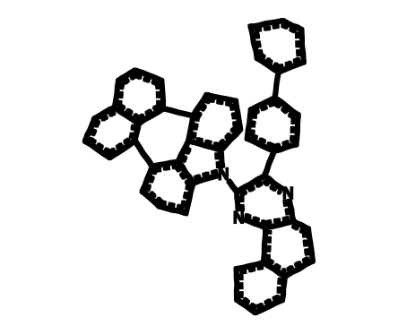 c1ccc(-c2ccc(-c3nc4ccc5ccccc5c4nc3-n3c4cccc5c4c4c(cccc43)-c3cccc4cccc-5c34)cc2)cc1